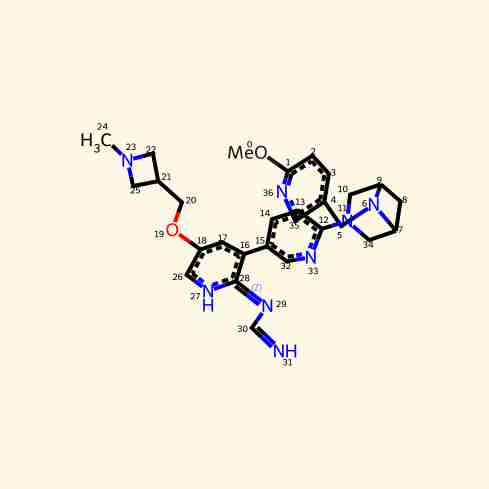 COc1ccc(CN2C3CC2CN(c2ccc(-c4cc(OCC5CN(C)C5)c[nH]/c4=N\C=N)cn2)C3)cn1